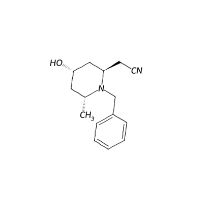 C[C@@H]1C[C@H](O)C[C@@H](CC#N)N1Cc1ccccc1